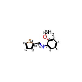 BOc1ccccc1/N=C/c1cccs1